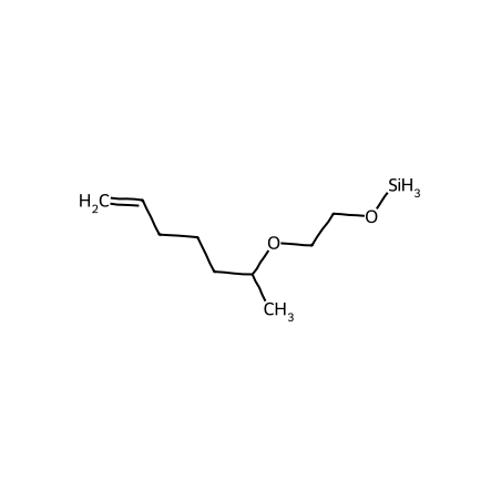 C=CCCCC(C)OCCO[SiH3]